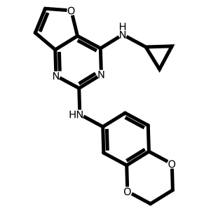 c1cc2nc(Nc3ccc4c(c3)OCCO4)nc(NC3CC3)c2o1